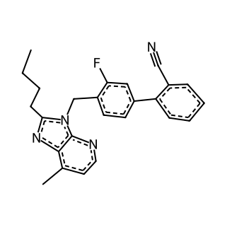 CCCCc1nc2c(C)ccnc2n1Cc1ccc(-c2ccccc2C#N)cc1F